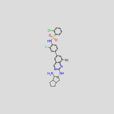 CCc1cc(-c2ccc(NS(=O)(=O)c3ccccc3Cl)c(F)c2)cc2cnc(N[C@@H]3CC4CCCC4C3N)nc12